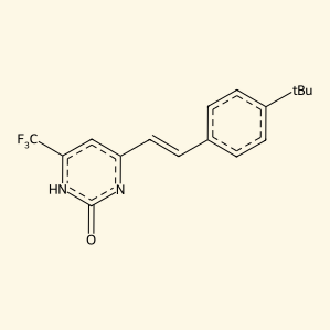 CC(C)(C)c1ccc(C=Cc2cc(C(F)(F)F)[nH]c(=O)n2)cc1